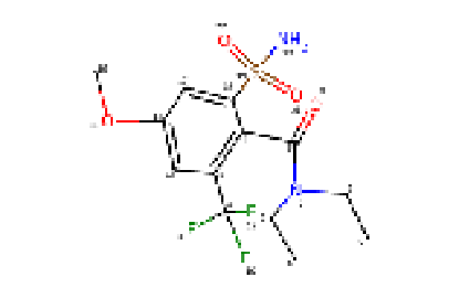 CCN(CC)C(=O)c1c(C(F)(F)F)cc(OC)cc1S(N)(=O)=O